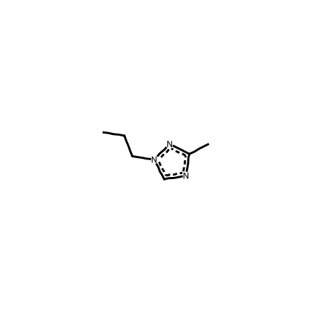 CCCn1cnc(C)n1